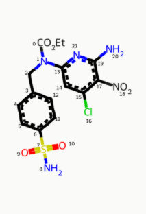 CCOC(=O)N(Cc1ccc(S(N)(=O)=O)cc1)c1cc(Cl)c([N+](=O)[O-])c(N)n1